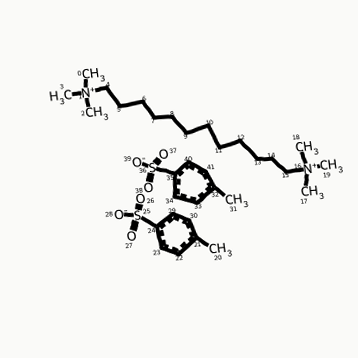 C[N+](C)(C)CCCCCCCCCCCC[N+](C)(C)C.Cc1ccc(S(=O)(=O)[O-])cc1.Cc1ccc(S(=O)(=O)[O-])cc1